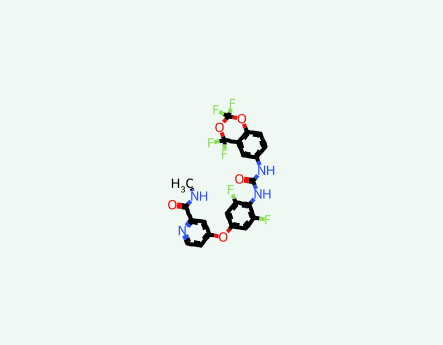 CNC(=O)c1cc(Oc2cc(F)c(NC(=O)Nc3ccc4c(c3)C(F)(F)OC(F)(F)O4)c(F)c2)ccn1